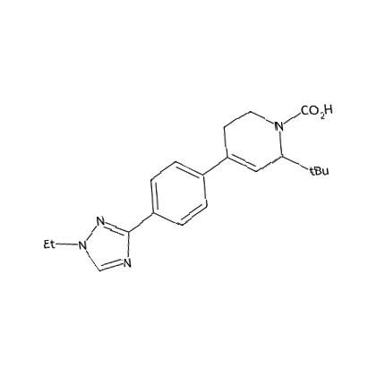 CCn1cnc(-c2ccc(C3=CC(C(C)(C)C)N(C(=O)O)CC3)cc2)n1